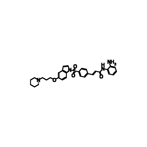 Nc1ccccc1NC(=O)/C=C/c1ccc(S(=O)(=O)n2ccc3cc(OCCCN4CCCCC4)ccc32)cc1